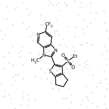 CCS(=O)(=O)c1c(-c2nc3cc(C(F)(F)F)ncc3n2C)sc2c1CCC2